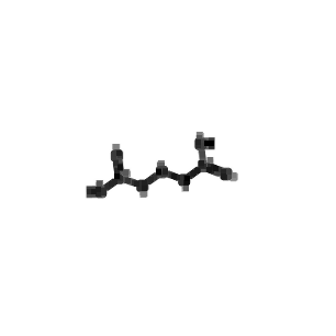 O=[Si](O)OOO[Si](=O)O